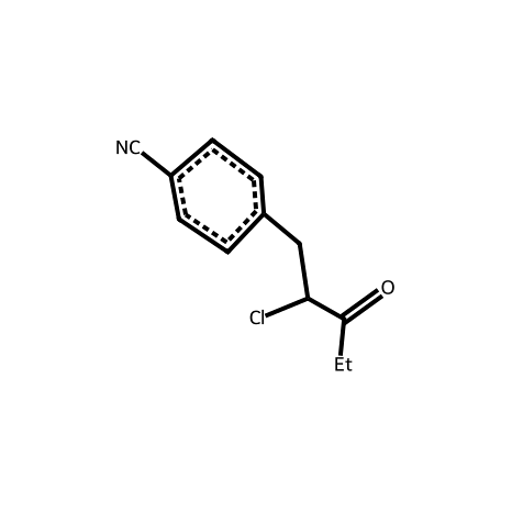 CCC(=O)C(Cl)Cc1ccc(C#N)cc1